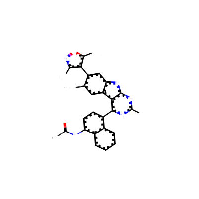 CCCC(=O)Nc1ccc(-c2nc(C)nc3[nH]c4cc(-c5c(C)noc5C)c(OC)cc4c23)c2ccccc12